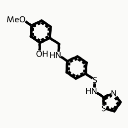 COc1ccc(CNc2ccc(SNc3nccs3)cc2)c(O)c1